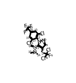 C=[N+](c1c(SC(F)(Cl)Cl)cnn1-c1c(Cl)cc(C(F)(F)F)cc1Cl)N(C)C